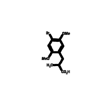 COc1cc(CC(C)C(=O)O)c(OC)cc1Br